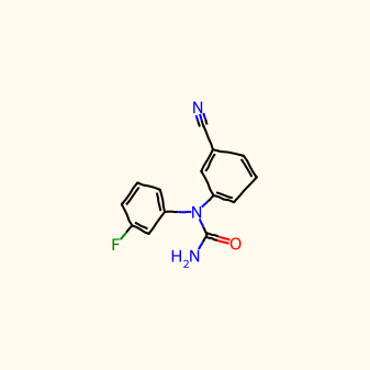 N#Cc1cccc(N(C(N)=O)c2cccc(F)c2)c1